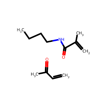 C=C(C)C(=O)NCCCC.C=CC(C)=O